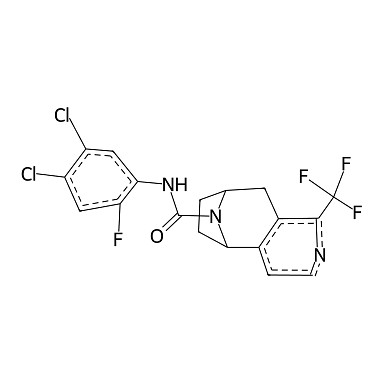 O=C(Nc1cc(Cl)c(Cl)cc1F)N1C2CCC1c1ccnc(C(F)(F)F)c1C2